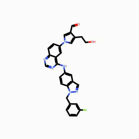 O=Cc1cn(-c2ccc3ncnc(Nc4ccc5c(cnn5Cc5cccc(F)c5)c4)c3c2)cc1CCO